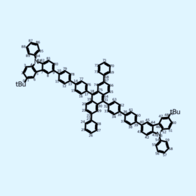 CC(C)(C)c1ccc2c(c1)c1cc(-c3ccc(-c4ccc(-c5c6ccc(-c7ccccc7)cc6c(-c6ccc(-c7ccc(-c8ccc9c(c8)c8cc(C(C)(C)C)ccc8n9-c8ccccc8)cc7)cc6)c6ccc(-c7ccccc7)cc56)cc4)cc3)ccc1n2-c1ccccc1